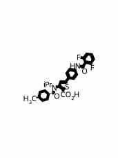 CC(C)N(c1cc(-c2ccc(NC(=O)c3c(F)cccc3F)cc2)sc1C(=O)O)C(=O)[C@H]1CC[C@H](C)CC1